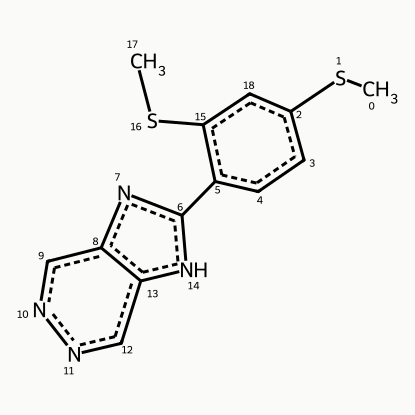 CSc1ccc(-c2nc3cnncc3[nH]2)c(SC)c1